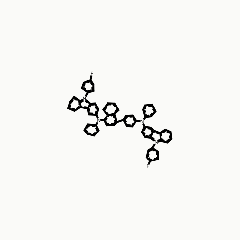 Fc1ccc(-n2c3ccccc3c3cc(N(c4ccccc4)c4ccc(-c5ccc(N(c6ccccc6)c6ccc7c(c6)c6ccccc6n7-c6ccc(F)cc6)c6ccccc56)cc4)ccc32)cc1